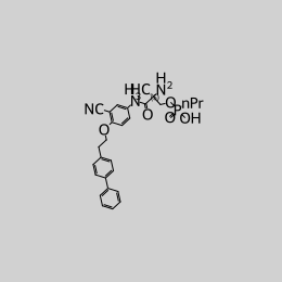 CCCP(=O)(O)OC[C@](C)(N)C(=O)Nc1ccc(OCCc2ccc(-c3ccccc3)cc2)c(C#N)c1